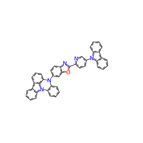 c1ccc2c(c1)N(c1ccc3nc(-c4ccc(-n5c6ccccc6c6ccccc65)cn4)oc3c1)c1cccc3c4ccccc4n-2c13